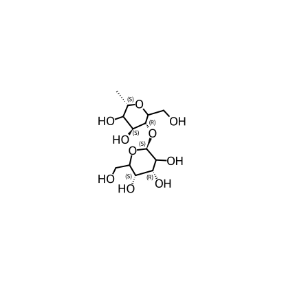 C[C@@H]1OC(CO)[C@H](O[C@@H]2OC(CO)[C@@H](O)[C@@H](O)C2O)[C@@H](O)C1O